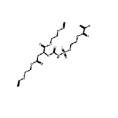 C=COCCOC(=O)CC(OC(=O)NS(=O)(=O)OCCOC(=O)C(=C)C)C(=O)OCCOC=C